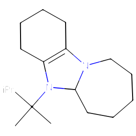 CC(C)C(C)(C)N1C2=C(CCCC2)N2CCCCCC21